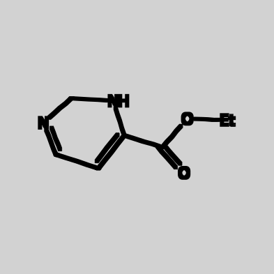 CCOC(=O)C1=CC=NCN1